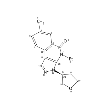 CCn1c(=O)c2cc(C)ccc2c2cnn([C@H]3CCOC3)c21